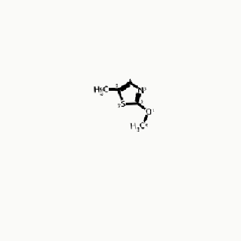 COc1ncc(C)s1